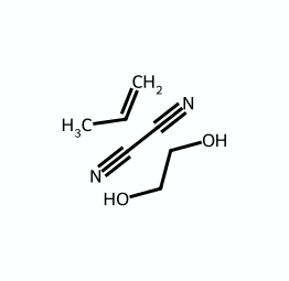 C=CC.N#CC#N.OCCO